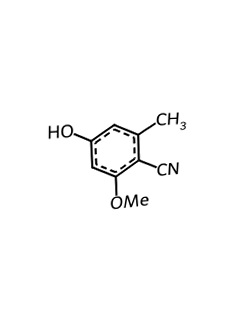 COc1cc(O)cc(C)c1C#N